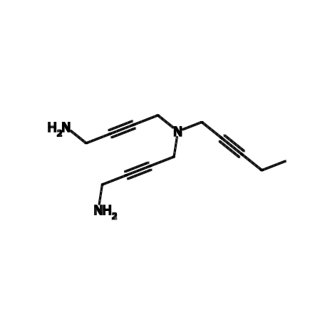 CCC#CCN(CC#CCN)CC#CCN